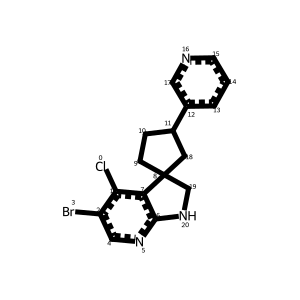 Clc1c(Br)cnc2c1C1(CCC(c3cccnc3)C1)CN2